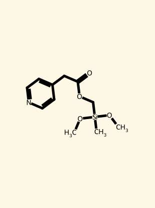 CO[Si](C)(COC(=O)Cc1ccncc1)OC